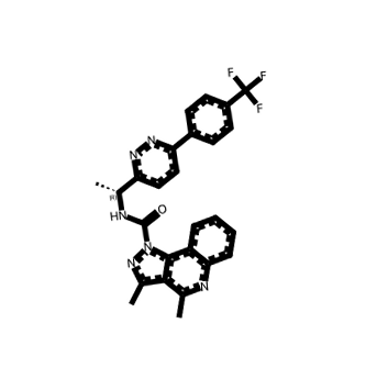 Cc1nc2ccccc2c2c1c(C)nn2C(=O)N[C@H](C)c1ccc(-c2ccc(C(F)(F)F)cc2)nn1